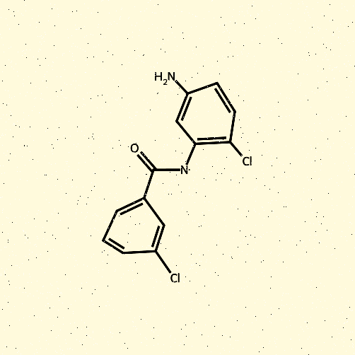 Nc1ccc(Cl)c([N]C(=O)c2cccc(Cl)c2)c1